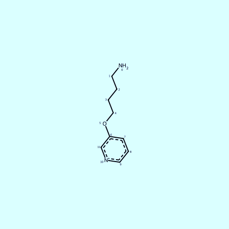 NCCCCOc1cccnc1